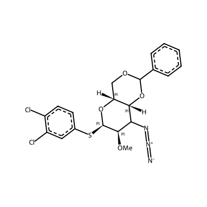 CO[C@@H]1C(N=[N+]=[N-])[C@H]2OC(c3ccccc3)OC[C@H]2O[C@@H]1Sc1ccc(Cl)c(Cl)c1